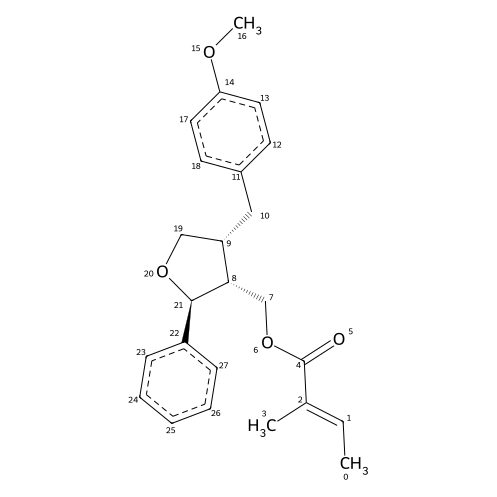 C/C=C(\C)C(=O)OC[C@H]1[C@@H](Cc2ccc(OC)cc2)CO[C@@H]1c1ccccc1